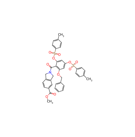 COC(=O)c1ccc2c(c1)CN(C(=O)c1c(OCc3ccccc3)cc(OS(=O)(=O)c3ccc(C)cc3)cc1OS(=O)(=O)c1ccc(C)cc1)C2